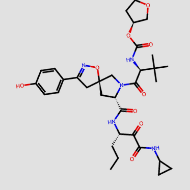 CCC[C@H](NC(=O)[C@@H]1C[C@]2(CC(c3ccc(O)cc3)=NO2)CN1C(=O)[C@@H](NC(=O)O[C@H]1CCOC1)C(C)(C)C)C(=O)C(=O)NC1CC1